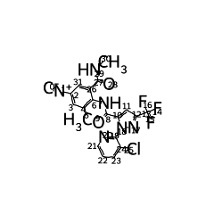 [C-]#[N+]c1cc(C)c(NC(=O)c2cc(C(F)(F)F)nn2-c2ncccc2Cl)c(C(=O)NC)c1